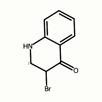 O=C1c2ccccc2N[C]C1Br